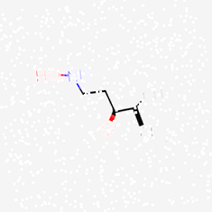 C=C(C)C(=O)CCNO